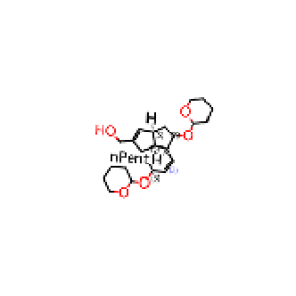 CCCCC[C@@H](/C=C\[C@H]1[C@H]2CC(CO)=C[C@H]2C[C@H]1OC1CCCCO1)OC1CCCCO1